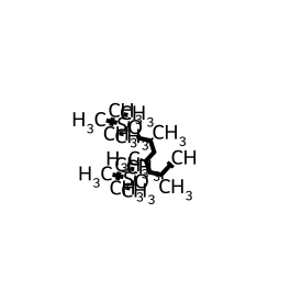 C#C[C@H](C)[C@H](O[Si](C)(C)C(C)(C)C)[C@@H](C)C[C@@H](C)CO[Si](C)(C)C(C)(C)C